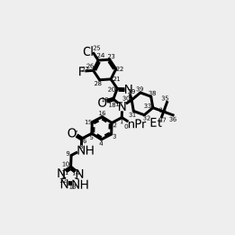 CCCC(c1ccc(C(=O)NCc2nn[nH]n2)cc1)N1C(=O)C(C2C=CC(Cl)=C(F)C2)=NC12CCC(C(C)(C)CC)CC2